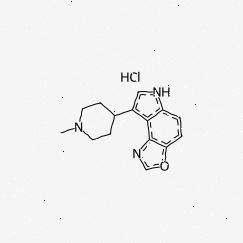 CN1CCC(c2c[nH]c3ccc4ocnc4c23)CC1.Cl